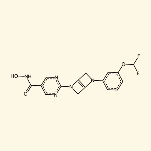 O=C(NO)c1cnc(N2CC3=C2CN3c2cccc(OC(F)F)c2)nc1